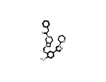 Cc1ccc(-c2cnn(C3CCCCO3)c2)cc1/N=C\N1CC2CCN(C(=O)Cc3ccccc3)CC21